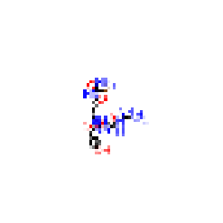 NC[C@@H](N)NC(=O)CCCC(=O)NC(Cc1ccc(O)cc1)C(=O)NCCCCCC(=O)NC(CS)C(N)=O